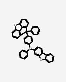 c1ccc(N(c2ccc(C3(c4ccccc4)c4cccc5oc6cccc3c6c45)cc2)c2ccc3c(c2)oc2ccccc23)cc1